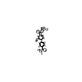 CN(C)C(=O)c1ccc([C@H]2CCN(C(=O)OC(C)(C)C)C[C@H]2F)cc1